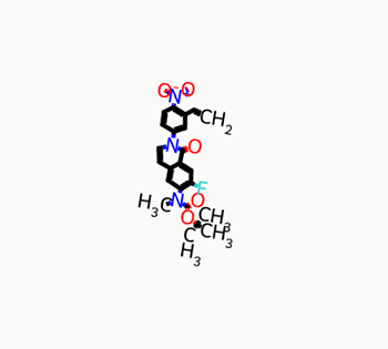 C=Cc1cc(-n2ccc3cc(N(C)C(=O)OC(C)(C)C)c(F)cc3c2=O)ccc1[N+](=O)[O-]